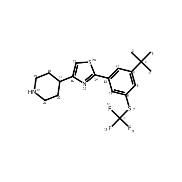 CC(C)(C)c1cc(SC(F)(F)F)cc(-c2nc(C3CCNCC3)cs2)c1